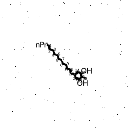 CCCC=CCCCCCCCCC=Cc1cc(O)c(C)c(O)c1